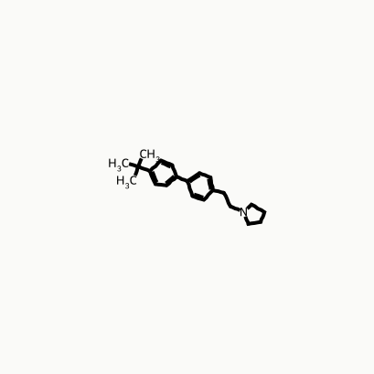 CC(C)(C)c1ccc(-c2ccc(CCN3CCCC3)cc2)cc1